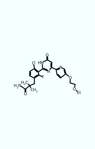 CCOCCOc1ccc(-c2cc(=O)[nH]c(-c3c(Cl)ccc(CC(C)(C)C(N)=O)c3F)n2)nc1